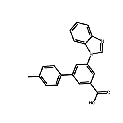 Cc1ccc(-c2cc(C(=O)O)cc(-n3cnc4ccccc43)c2)cc1